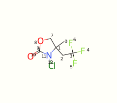 CC1(CC(F)(F)F)COC(=O)N1Cl